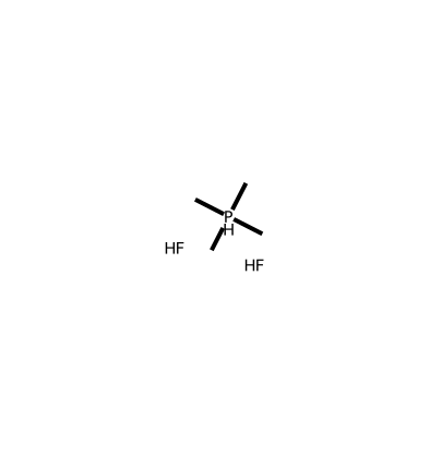 C[PH](C)(C)C.F.F